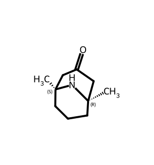 C[C@]12CCC[C@](C)(CC(=O)C1)N2